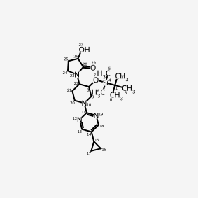 CC(C)(C)[Si](C)(C)OC1CN(c2ncc(C3CC3)cn2)CCC1N1CCC(O)C1=O